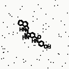 O=C(Nc1ccc(O)cc1)c1ccc2c(N3Cc4ccc5ccccc5c4N3)n[nH]c2c1